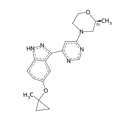 C[C@H]1CN(c2cc(-c3n[nH]c4ccc(OC5(C)CC5)cc34)ncn2)CCO1